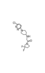 O=C(CNC1CCN(c2ccc(Cl)nn2)CC1)N1CCC(F)(F)C1